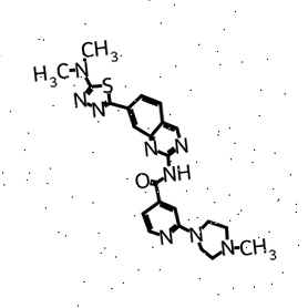 CN1CCN(c2cc(C(=O)Nc3ncc4ccc(-c5nnc(N(C)C)s5)cc4n3)ccn2)CC1